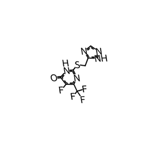 O=c1[nH]c(SCc2ncn[nH]2)nc(C(F)(F)F)c1F